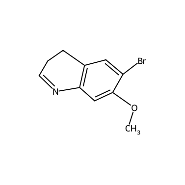 COc1cc2c(cc1Br)CCC=N2